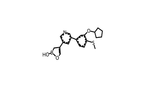 CSc1ccc(-c2cncc(C3=COB(O)C3)c2)cc1OC1CCCC1